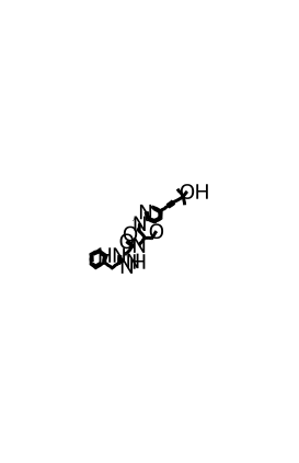 CN1C(=O)C(NC(=O)c2nnc(Cc3ccccc3)[nH]2)COc2cc(C#CC(C)(C)O)cnc21